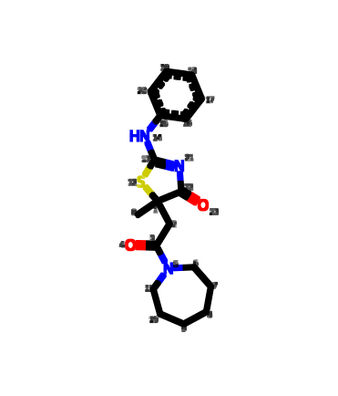 CC1(CC(=O)N2CCCCCC2)SC(Nc2ccccc2)=NC1=O